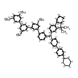 CC(C)(C)c1cc(-c2cccc(N(c3ccc(-c4ccc(C5CCCCC5)cc4)cc3)c3ccc4c(c3)C(C)(C)c3ccccc3-4)c2)cc(-c2cc(-c3cc(C(C)(C)C)cc(C(C)(C)C)c3)cc(C(C)(C)C)c2)c1